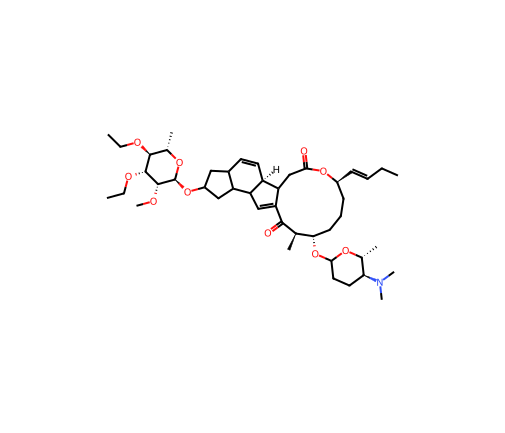 CC/C=C/[C@H]1CCC[C@H](OC2CC[C@H](N(C)C)[C@@H](C)O2)[C@@H](C)C(=O)C2=CC3C4CC(O[C@@H]5O[C@@H](C)[C@H](OCC)[C@@H](OCC)[C@H]5OC)CC4C=C[C@H]3C2CC(=O)O1